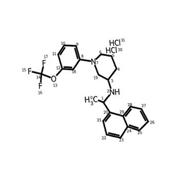 CC(NC1CCCN(c2cccc(OC(F)(F)F)c2)C1)c1cccc2ccccc12.Cl.Cl